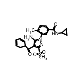 Cc1ccc(C(=O)NC2CC2)cc1-n1nc(S(C)(=O)=O)c(C(=O)C2C=CC=CC2)c1N